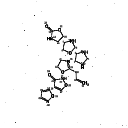 C1CNCN1.C1COCN1.C=CCC1=NCCO1.O=C1NCCO1.O=c1cco[nH]1.c1cnoc1